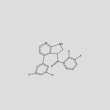 O=C(c1cccc(F)c1F)C1CNc2nccc(-c3cc(F)cc(F)c3)c21